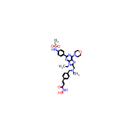 CCn1c(CN(C)Cc2ccc(/C=C/C(=O)NO)cc2)nc2c(N3CCOCC3)nc(-c3ccc(NS(C)(=O)=O)cc3)nc21